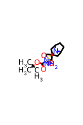 CC(C)(C)OC(=O)N1CC(N2C3CCC2CC(S(N)(=O)=O)C3)C1